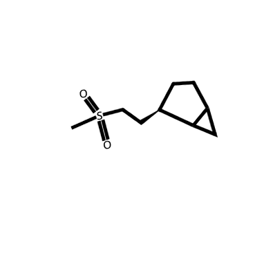 CS(=O)(=O)CC[C@H]1CCC2CC21